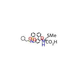 CSCC[C@H](NC(=O)c1ccc(CN(CCCC2CCCCC2)S(=O)(=O)c2ccccc2)cc1-c1ccccc1C)C(=O)O